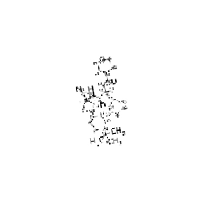 CC(C)(C)C1CCC(N2CC[C@](C#N)(NC(=O)[C@@H](CC(=O)N3CCOCC3)CC3CCCCC3)C2)CC1